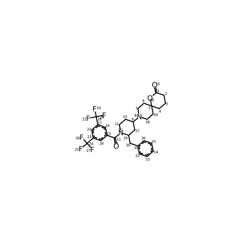 O=C1CCCC2(CCN(C3CCN(C(=O)c4cc(C(F)(F)F)cc(C(F)(F)F)c4)C(Cc4ccccc4)C3)CC2)O1